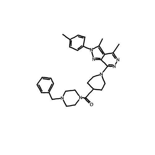 Cc1ccc(-n2nc3c(N4CCC(C(=O)N5CCN(Cc6ccccc6)CC5)CC4)nnc(C)c3c2C)cc1